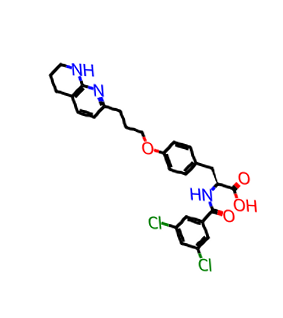 O=C(N[C@@H](Cc1ccc(OCCCc2ccc3c(n2)NCCC3)cc1)C(=O)O)c1cc(Cl)cc(Cl)c1